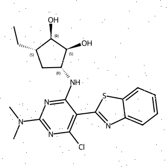 CC[C@H]1C[C@@H](Nc2nc(N(C)C)nc(Cl)c2-c2nc3ccccc3s2)[C@H](O)[C@@H]1O